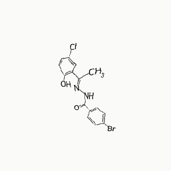 C/C(=N\NC(=O)c1ccc(Br)cc1)c1cc(Cl)ccc1O